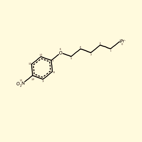 C[C](C)CCCCCOc1ccc([N+](=O)[O-])cc1